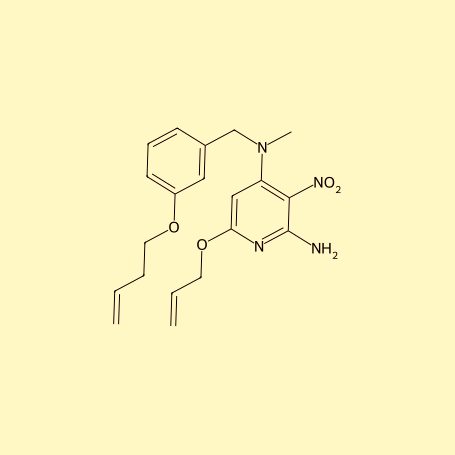 C=CCCOc1cccc(CN(C)c2cc(OCC=C)nc(N)c2[N+](=O)[O-])c1